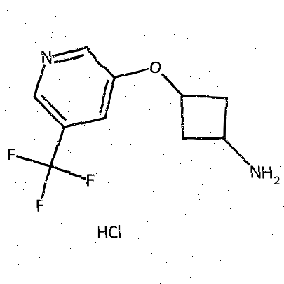 Cl.NC1CC(Oc2cncc(C(F)(F)F)c2)C1